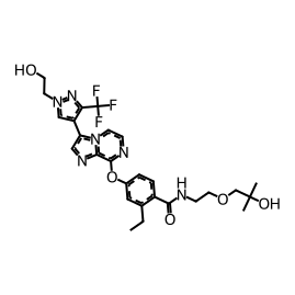 CCc1cc(Oc2nccn3c(-c4cn(CCO)nc4C(F)(F)F)cnc23)ccc1C(=O)NCCOCC(C)(C)O